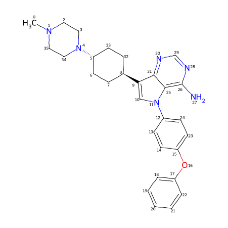 CN1CCN([C@H]2CC[C@H](c3cn(-c4ccc(Oc5ccccc5)cc4)c4c(N)ncnc43)CC2)CC1